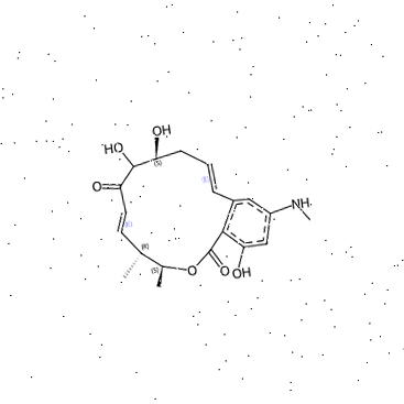 CNc1cc(O)c2c(c1)/C=C/C[C@H](O)C(O)C(=O)/C=C/[C@@H](C)[C@H](C)OC2=O